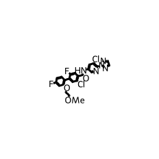 COCCOc1cc(F)ccc1-c1cc(Cl)c(C(=O)Nc2cnc(-n3nccn3)c(Cl)c2)cc1F